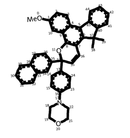 COc1ccc2c3c(c4c(c2c1)OC(c1ccc(N2CCOCC2)cc1)(c1ccc2ccccc2c1)C=C4)C(C)(C)c1ccccc1-3